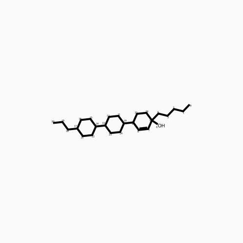 CCCCCC1(O)C=CC(C2CCC(C3CCC(CCC)CC3)CC2)CC1